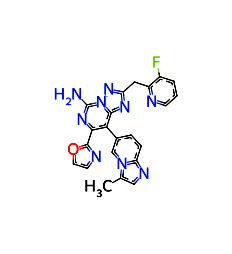 Cc1cnc2ccc(-c3c(-c4ncco4)nc(N)n4nc(Cc5ncccc5F)nc34)cn12